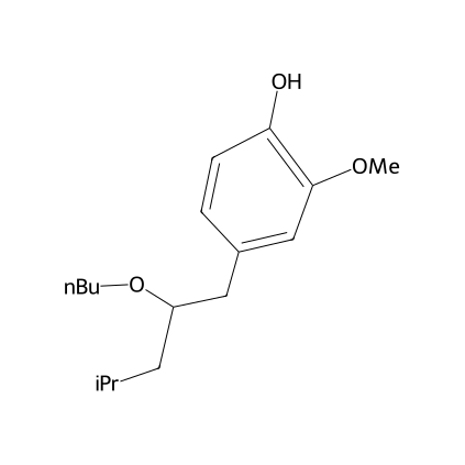 CCCCOC(Cc1ccc(O)c(OC)c1)CC(C)C